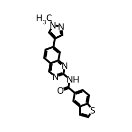 Cn1cc(-c2ccc3cnc(NC(=O)c4ccc5sccc5c4)nc3c2)cn1